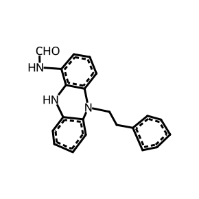 O=CNc1cccc2c1Nc1ccccc1N2CCc1ccccc1